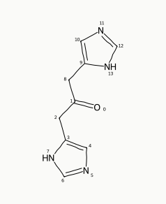 O=C(Cc1cnc[nH]1)Cc1cnc[nH]1